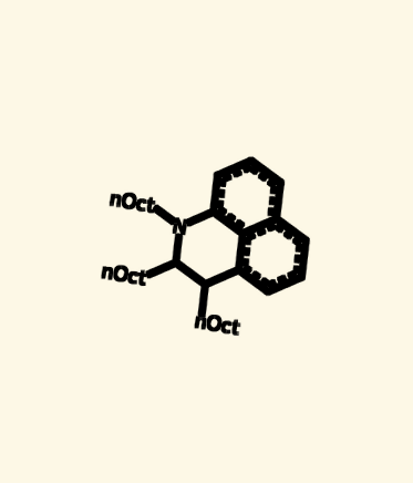 CCCCCCCCC1c2cccc3cccc(c23)N(CCCCCCCC)C1CCCCCCCC